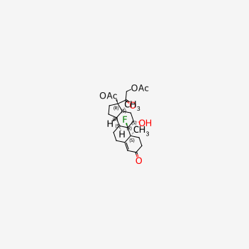 CC(=O)OCC(=O)[C@@]1(OC(C)=O)CC[C@H]2[C@@H]3CCC4=CC(=O)CC[C@]4(C)[C@@]3(F)[C@@H](O)C[C@@]21C